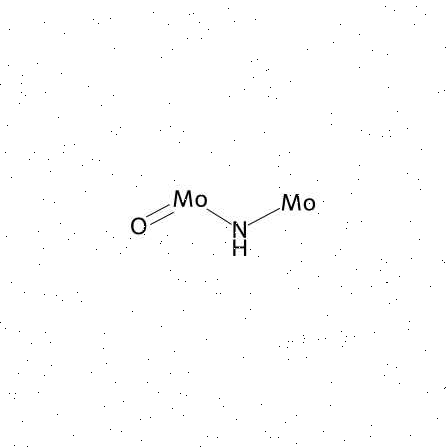 [O]=[Mo][NH][Mo]